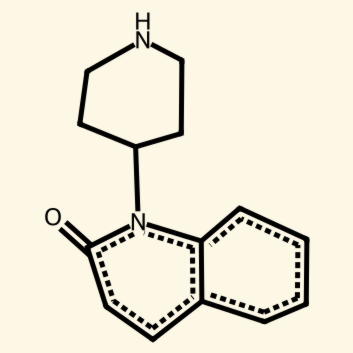 O=c1ccc2ccccc2n1C1CCNCC1